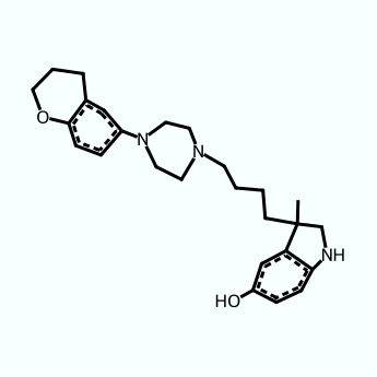 CC1(CCCCN2CCN(c3ccc4c(c3)CCCO4)CC2)CNc2ccc(O)cc21